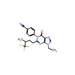 CCn1cnc2c(=O)n(-c3ccc(C#N)cc3)c(CCC(C)C(F)(F)F)nc21